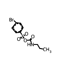 CCCNC(=O)OS(=O)(=O)c1ccc(Br)cc1